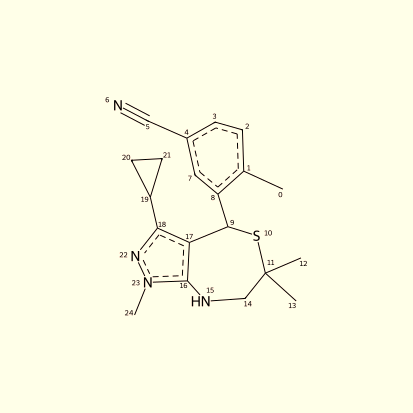 Cc1ccc(C#N)cc1C1SC(C)(C)CNc2c1c(C1CC1)nn2C